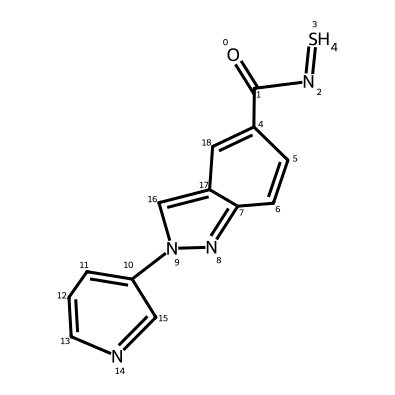 O=C(N=[SH4])c1ccc2nn(-c3cccnc3)cc2c1